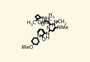 C=NN1C(NC)=CC(Nc2cccn([C@H]3CC[C@@H](OC)CC3)c2=O)=N/C1=C(/C)C(=O)N[C@@H]1CC[C@@]1(C)OC